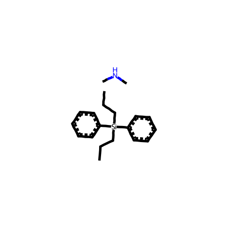 CCC[Si](CCC)(c1ccccc1)c1ccccc1.CNC